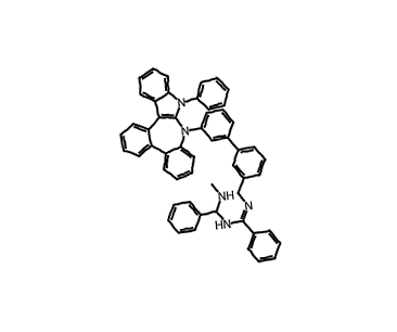 CNC(N/C(=N\Cc1cccc(-c2cccc(N3c4ccccc4-c4ccccc4-c4c3n(-c3ccccc3)c3ccccc43)c2)c1)c1ccccc1)c1ccccc1